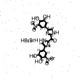 Br.Br.O=C(c1nc(-c2cc(O)c(O)c([N+](=O)[O-])c2)c[nH]1)c1nc(-c2cc(O)c(O)c([N+](=O)[O-])c2)c[nH]1